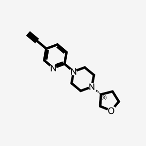 C#Cc1ccc(N2CCN([C@@H]3CCOC3)CC2)nc1